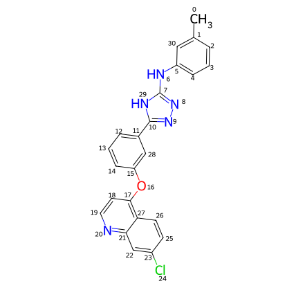 Cc1cccc(Nc2nnc(-c3cccc(Oc4ccnc5cc(Cl)ccc45)c3)[nH]2)c1